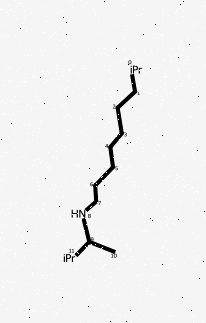 CC(C)CCCCCCCNC(C)C(C)C